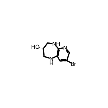 O[C@H]1CNc2cc(Br)cnc2NC1